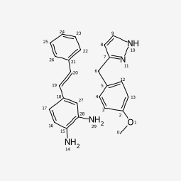 COc1ccc(Cc2cc[nH]n2)cc1.Nc1ccc(C=Cc2ccccc2)cc1N